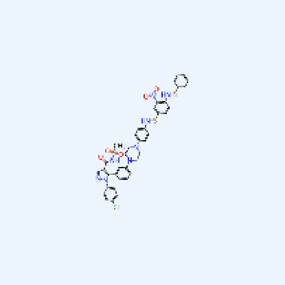 CS(=O)(=O)NC(=O)c1cnn(-c2ccc(Cl)cc2)c1-c1cccc(N2CCN(c3ccc(NSc4ccc(NSc5ccccc5)c([N+](=O)[O-])c4)cc3)CC2)c1